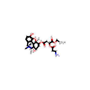 CN1CC[C@]23c4c5ccc(O)c4O[C@H]2C(OC(=O)C[C@H](OC(=O)CCN)C(=O)OCC(=O)O)=CC[C@@]3(O)[C@H]1C5